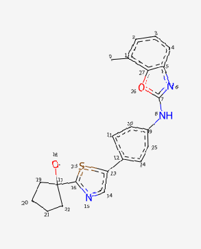 Cc1cccc2nc(Nc3ccc(-c4cnc(C5([O])CCCC5)s4)cc3)oc12